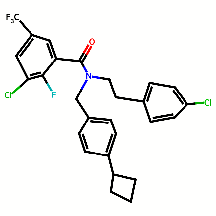 O=C(c1cc(C(F)(F)F)cc(Cl)c1F)N(CCc1ccc(Cl)cc1)Cc1ccc(C2CCC2)cc1